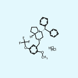 COc1ccc(OC(F)(F)F)cc1CN1C[C@@H]2CCCN2[C@H](C(c2ccccc2)c2ccccc2)C1.Cl.Cl